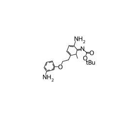 CC1C(CCOc2cccc(N)c2)=CC=C(N)C1=NC(=O)OC(C)(C)C